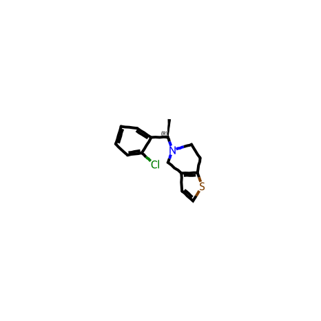 C[C@H](c1ccccc1Cl)N1CCc2sccc2C1